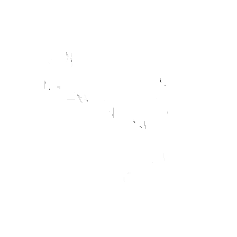 C[C@@H](O)CNc1nc(Nc2cnccn2)cc2ccn(C)c(=O)c12